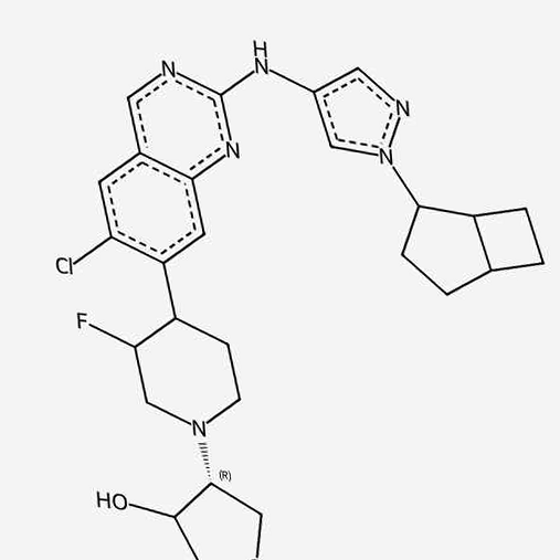 OC1COC[C@H]1N1CCC(c2cc3nc(Nc4cnn(C5CCC6CCC65)c4)ncc3cc2Cl)C(F)C1